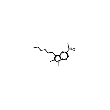 CCCCCCc1c(C)[nH]c2ccc([N+](=O)[O-])cc12